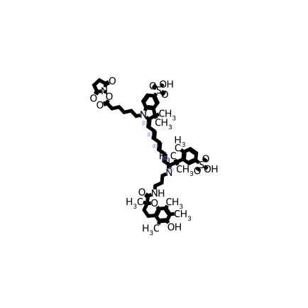 Cc1ccc(S(=O)(=O)O)cc1C(C)(C)C(/C=C/C=C/C=C/C=C1/N(CCCCCC(=O)ON2C(=O)CCC2=O)c2ccc(S(=O)(=O)O)cc2C1(C)C)=N/CCCNC(=O)C1(C)CCc2c(C)c(O)c(C)c(C)c2O1